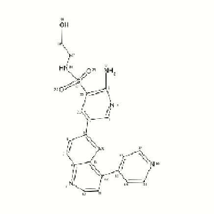 Nc1ncc(-c2ccc3nccc(-c4ccncc4)c3c2)cc1S(=O)(=O)NCCO